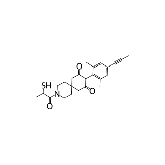 CC#Cc1cc(C)c(C2C(=O)CC3(CCN(C(=O)C(C)S)CC3)CC2=O)c(C)c1